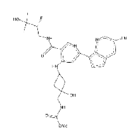 COC(=O)NCC1(O)CC(Nc2cc(-c3ccc4cc(C#N)cnn34)ncc2C(=O)NC[C@@H](F)C(C)(C)O)C1